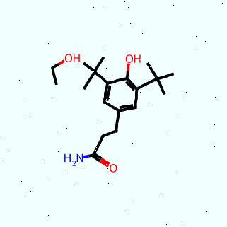 CC(C)(C)c1cc(CCC(N)=O)cc(C(C)(C)C)c1O.CCO